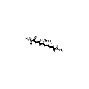 NN.NNC(=O)CCCCCCCCC(=O)NN